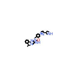 CC(C)c1ccccc1-c1ncc2[nH]c(=O)n(Cc3ccc(-n4ccc(C5CCNC5)n4)cc3)c2n1